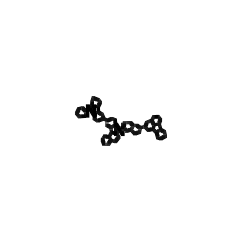 c1ccc(-n2c3ccccc3c3cc(-c4ccc5c(c4)c4c6ccccc6ccc4n5-c4ccc5cc(-c6cc7c8c(cccc8c6)-c6ccccc6-7)ccc5c4)ccc32)cc1